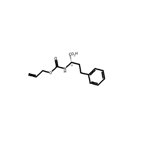 C=CCOC(=O)N[C@@H](CCc1ccccc1)C(=O)O